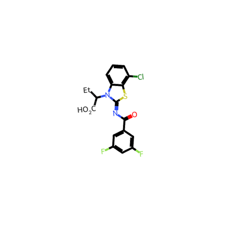 CCC(C(=O)O)n1/c(=N/C(=O)c2cc(F)cc(F)c2)sc2c(Cl)cccc21